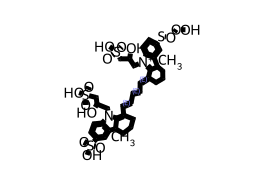 CC12CCCC(/C=C/C=C/C=C3\CCCC4(C)C3=[N+](CC(O)CS(=O)(=O)O)c3ccc(SOOO)cc34)=C1N(CC(O)CS(=O)(=O)O)c1ccc(S(=O)(=O)O)cc12